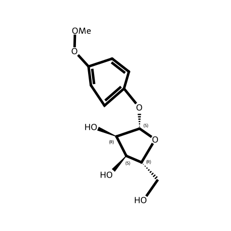 COOc1ccc(O[C@@H]2O[C@H](CO)[C@@H](O)[C@H]2O)cc1